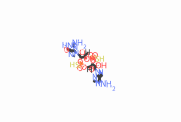 Nc1nc2c(ncn2[C@@H]2O[C@@H]3COP(=O)(S)OC4[C@@H](COP(=O)(S)OC2C3O)O[C@@H](n2ncc3c(N)ncnc32)[C@H]4O)c(=O)[nH]1